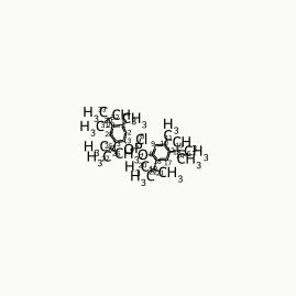 Cc1cc(OP(Cl)Oc2cc(C)c(C(C)(C)C)cc2C(C)(C)C)c(C(C)(C)C)cc1C(C)(C)C